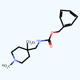 CCOC(=O)C1(CNC(=O)OCc2ccccc2)CCN(C(=O)O)CC1